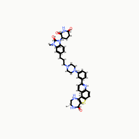 C[C@@H]1CNc2c(sc3ccc4nc(-c5cccc(N6CCN(CCCc7ccc8c(c7)n(C)c(=O)n8C7CCC(=O)NC7=O)CC6)c5)ccc4c23)C(=O)N1